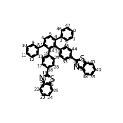 c1ccc(-c2ccc(-c3ccccc3)c(-c3ccc(-c4nc5ccccc5s4)cc3)c2-c2ccc(-c3nc4ccccc4s3)cc2)cc1